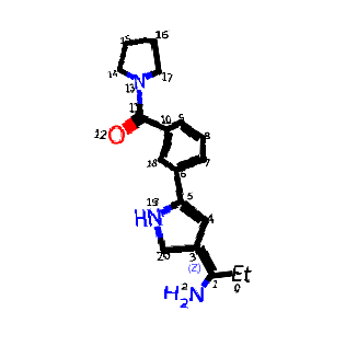 CC/C(N)=C1\C=C(c2cccc(C(=O)N3CCCC3)c2)NC1